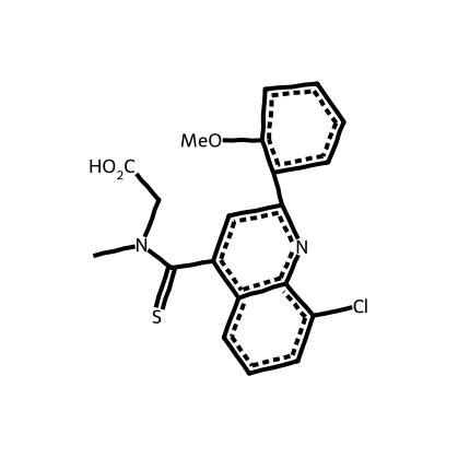 COc1ccccc1-c1cc(C(=S)N(C)CC(=O)O)c2cccc(Cl)c2n1